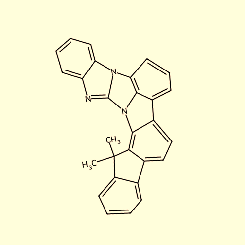 CC1(C)c2ccccc2-c2ccc3c4cccc5c4n(c3c21)c1nc2ccccc2n51